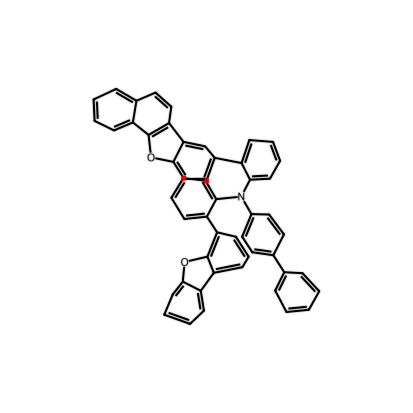 c1ccc(-c2ccc(N(c3ccccc3-c3ccc4oc5c6ccccc6ccc5c4c3)c3ccccc3-c3cccc4c3oc3ccccc34)cc2)cc1